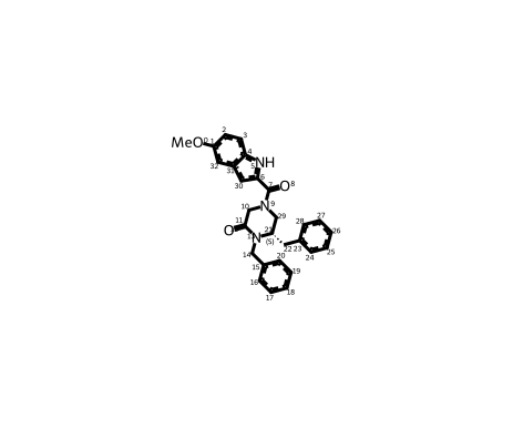 COc1ccc2[nH]c(C(=O)N3CC(=O)N(Cc4ccccc4)[C@@H](Cc4ccccc4)C3)cc2c1